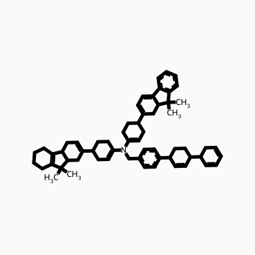 CC1(C)C2=C(CCCC2)C2CC=C(C3CC=C(N(Cc4ccc(C5C=CC(C6C=CC=CC6)CC5)cc4)C4=CCC(C5=CC=C6c7ccccc7C(C)(C)C6C5)CC4)CC3)CC21